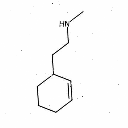 CNCCC1C=CCCC1